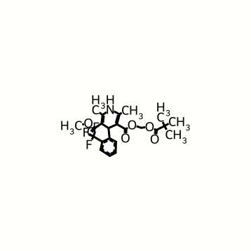 COC(=O)C1=C(C)NC(C)=C(C(=O)OCOC(=O)C(C)(C)C)C1c1ccccc1C(F)(F)F